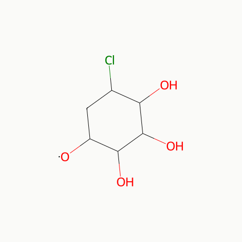 [O]C1CC(Cl)C(O)C(O)C1O